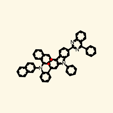 c1ccc(-c2nc(-c3ccc4c5ccc(-c6ccccc6N(c6ccc7ccccc7c6)c6cccc7ccccc67)cc5n(-c5ccccc5)c4c3)nc3ccccc23)cc1